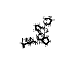 CC(C)c1cc(Nc2nc(N3CCC[C@@H]3C(=O)N3CCCCC3)nc3c2CCCC3)n[nH]1